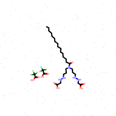 CCCCCCCCCCCCCCCC(=O)N(CCCNNCC(=O)O)CCCNNCC(=O)O.O=C(O)C(F)(F)F.O=C(O)C(F)(F)F